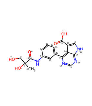 CC(O)(CO)C(=O)Nc1cccc(-c2ncnc3[nH]cc(C(=O)O)c23)c1